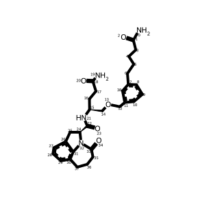 NC(=O)CCCCc1cccc(COC[C@H](CCC(N)=O)NC(=O)[C@@H]2Cc3cccc4c3N2C(=O)CCC4)c1